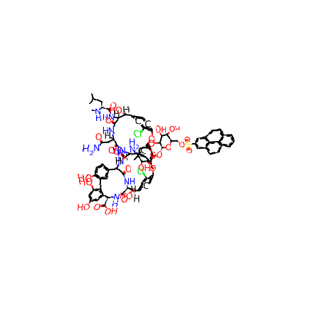 CN[C@@H](CC(C)C)C(=O)N[C@H]1C(=O)N[C@@H](CC(N)=O)C(=O)N[C@H]2C(=O)N[C@H]3C(=O)N[C@H](C(=O)N[C@@H](C(=O)O)c4cc(O)cc(O)c4-c4cc3ccc4O)[C@H](O)c3ccc(c(Cl)c3)Oc3cc2cc(c3OC2OC(COS(=O)(=O)c3cc4ccc5cccc6ccc(c3)c4c56)C(O)C(O)C2OC2CC(C)(N)C(O)C(C)O2)Oc2ccc(cc2Cl)[C@H]1O